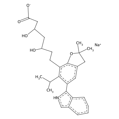 CC(C)c1c(-c2[nH]cc3ccccc23)cc2c(c1CCC(O)CC(O)CC(=O)[O-])OC(C)(C)C2.[Na+]